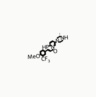 COc1ccc(C2=CC(=O)N3C=C(N4CCN[C@@H](C)C4)C=CC3P2)cc1C(F)(F)F